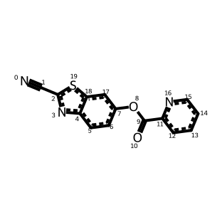 N#Cc1nc2ccc(OC(=O)c3ccccn3)cc2s1